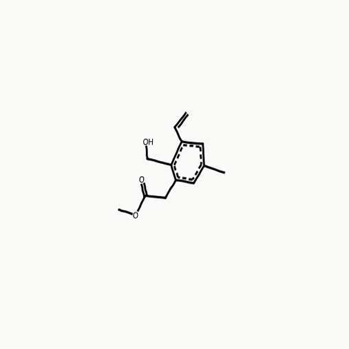 C=Cc1cc(C)cc(CC(=O)OC)c1CO